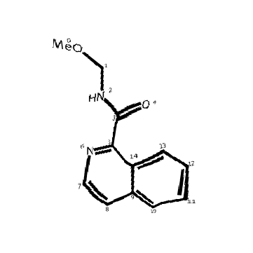 COCNC(=O)c1nccc2ccccc12